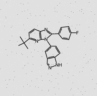 CC(C)(C)c1ccc2nc(-c3ccc(F)cc3)n(-c3ccc4[nH]ncc4c3)c2n1